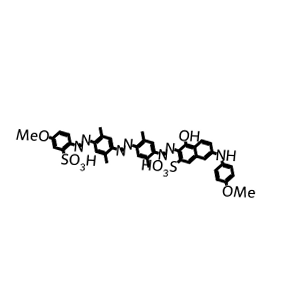 COc1ccc(Nc2ccc3c(O)c(N=Nc4cc(C)c(N=Nc5cc(C)c(N=Nc6ccc(OC)cc6S(=O)(=O)O)cc5C)cc4C)c(S(=O)(=O)O)cc3c2)cc1